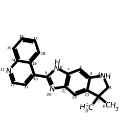 CC1(C)CNc2cc3[nH]c(-c4ccnc5ccccc45)nc3cc21